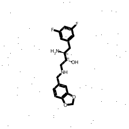 N[C@@H](Cc1cc(F)cc(F)c1)[C@H](O)CNCc1ccc2c(c1)OCO2